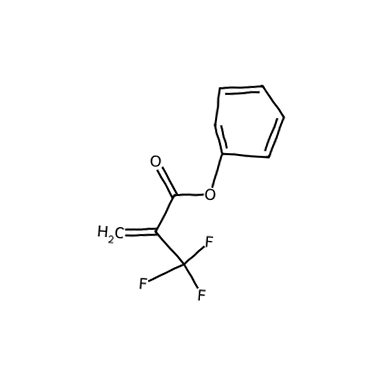 C=C(C(=O)Oc1ccccc1)C(F)(F)F